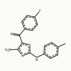 Cc1ccc(Nc2nc(N)c(C(=O)c3ccc(F)cc3)s2)cc1